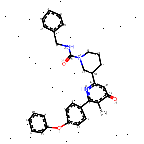 N#Cc1c(-c2ccc(Oc3ccccc3)cc2)[nH]c(C2CCCN(C(=O)NCc3ccccc3)C2)cc1=O